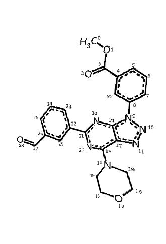 COC(=O)c1cccc(-n2nnc3c(N4CCOCC4)nc(-c4cccc(C=O)c4)nc32)c1